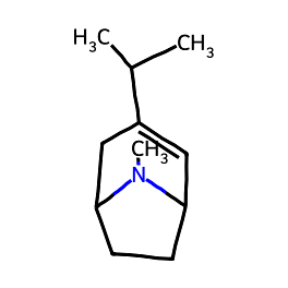 CC(C)C1=CC2CCC(C1)N2C